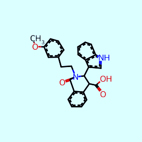 COc1cccc(CCN2C(=O)c3ccccc3C(C(=O)O)C2c2c[nH]c3ccccc23)c1